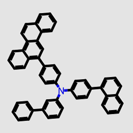 c1ccc(-c2cccc(N(c3ccc(-c4cccc5ccccc45)cc3)c3ccc(-c4cc5c6ccccc6ccc5c5ccccc45)cc3)c2)cc1